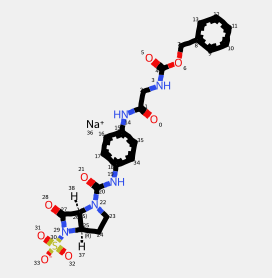 O=C(CNC(=O)OCc1ccccc1)Nc1ccc(NC(=O)N2CC[C@@H]3[C@H]2C(=O)N3S(=O)(=O)[O-])cc1.[Na+]